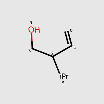 C=CC(CO)C(C)C